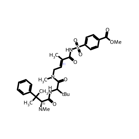 CN[C@H](C(=O)NC(C(=O)N(C)C/C=C(\C)C(=O)NS(=O)(=O)c1ccc(C(=O)OC)cc1)C(C)(C)C)C(C)(C)c1ccccc1